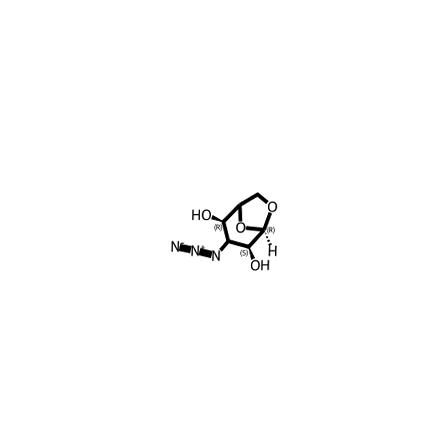 [N-]=[N+]=NC1[C@@H](O)C2CO[C@H](O2)[C@H]1O